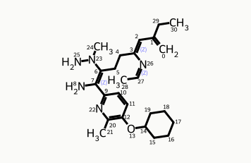 C=C(/C=C(CC/C(=C(/N)c1ccc(OC2CCCCC2)c(C)n1)N(C)N)\N=C/C)CC